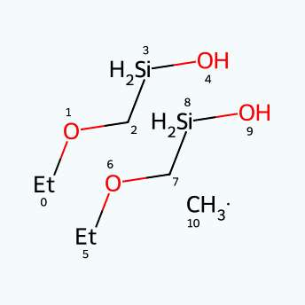 CCOC[SiH2]O.CCOC[SiH2]O.[CH3]